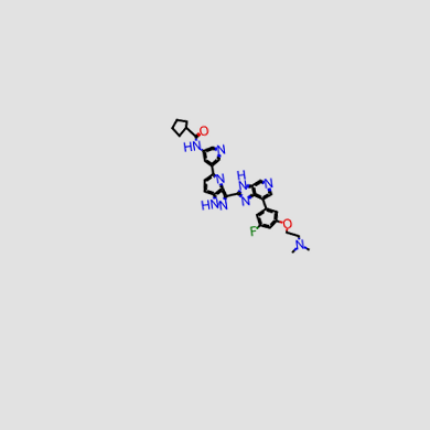 CN(C)CCOc1cc(F)cc(-c2cncc3[nH]c(-c4n[nH]c5ccc(-c6cncc(NC(=O)C7CCCC7)c6)nc45)nc23)c1